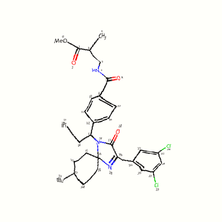 COC(=O)C(C)CNC(=O)c1ccc(C(CC(C)C)N2C(=O)C(c3cc(Cl)cc(Cl)c3)=NC23CCC(C(C)(C)C)CC3)cc1